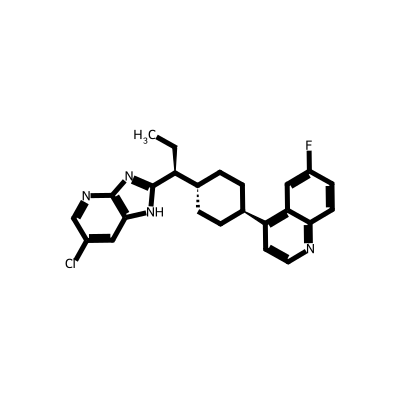 CC[C@H](c1nc2ncc(Cl)cc2[nH]1)[C@H]1CC[C@H](c2ccnc3ccc(F)cc32)CC1